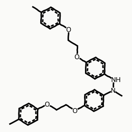 Cc1ccc(OCCOc2ccc(NN(C)c3ccc(OCCOc4ccc(C)cc4)cc3)cc2)cc1